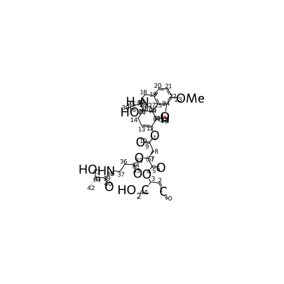 C=C=CC(OC(=O)[C@H](CC(=O)OC1=CC[C@@]2(O)[C@H]3Cc4ccc(OC)c5c4[C@@]2(CCN3C)[C@H]1O5)OC(=O)CCNC(=O)[C@H](C)O)C(=O)O